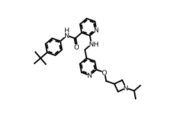 CC(C)N1CC(COc2cc(CNc3ncccc3C(=O)Nc3ccc(C(C)(C)C)cc3)ccn2)C1